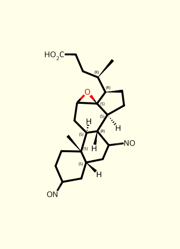 C[C@H](CCC(=O)O)[C@H]1CC[C@H]2[C@@H]3C(N=O)C[C@@H]4CC(N=O)CC[C@]4(C)[C@H]3CC3O[C@@]312